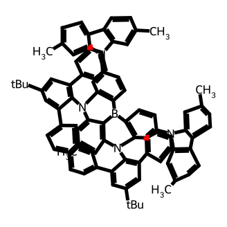 Cc1cc2c3c(c1)N(c1c(-c4ccccc4)cc(C(C)(C)C)cc1-c1ccccc1)c1cc(-n4c5cc(C)ccc5c5ccc(C)cc54)ccc1B3c1ccc(-n3c4cc(C)ccc4c4ccc(C)cc43)cc1N2c1c(-c2ccccc2)cc(C(C)(C)C)cc1-c1ccccc1